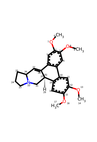 COc1cc2c(cc1OC)-c1cc(OC)c(OC)cc1[C@H]1CN3CCCC3C=C21